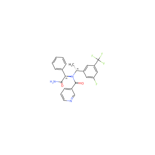 C[C@H](c1cc(F)cc(C(F)(F)F)c1)N(C(=O)c1cccnc1)[C@@H](C(N)=O)c1ccccc1